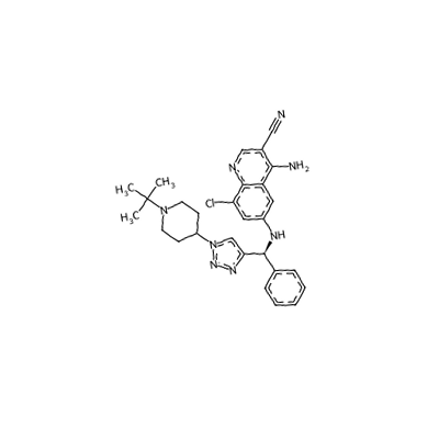 CC(C)(C)N1CCC(n2cc([C@@H](Nc3cc(Cl)c4ncc(C#N)c(N)c4c3)c3ccccc3)nn2)CC1